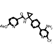 COc1ccc(C(=O)NC2(c3ccc(-c4cnc(C(F)(F)F)cc4N)cc3)CC2)cn1